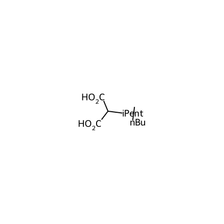 CCCC(C)C(C(=O)O)C(=O)O.CCCCC